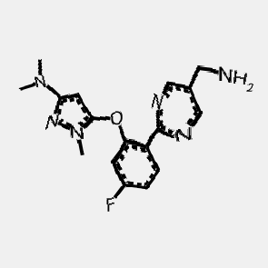 CN(C)c1cc(Oc2cc(F)ccc2-c2ncc(CN)cn2)n(C)n1